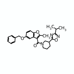 Cc1oc2ccc(OCc3ccccc3)cc2c1C(=O)N1CCCC(c2nc(C(C)C)no2)C1